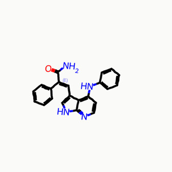 NC(=O)/C(=C/c1c[nH]c2nccc(Nc3ccccc3)c12)c1ccccc1